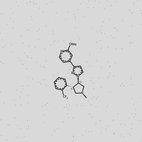 COc1cc(-c2ccn([C@H]3CN(C)C[C@@H]3c3ccccc3C(F)(F)F)n2)ccn1